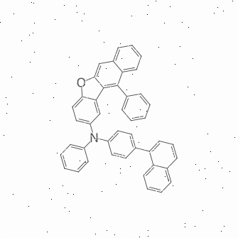 c1ccc(-c2c3ccccc3cc3oc4ccc(N(c5ccccc5)c5ccc(-c6cccc7ccccc67)cc5)cc4c23)cc1